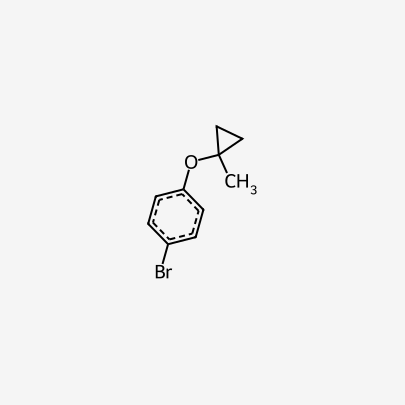 CC1(Oc2ccc(Br)cc2)CC1